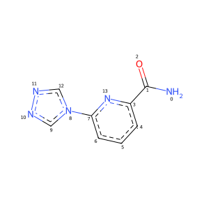 NC(=O)c1[c]ccc(-n2cnnc2)n1